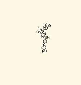 C=CCn1c(=O)c2cnc(Nc3ccc(N4CCC(NC)CC4)cc3)nc2n1-c1ccc(=O)n(C(C)C)n1